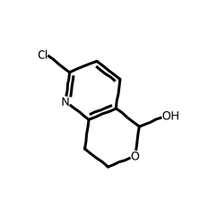 OC1OCCc2nc(Cl)ccc21